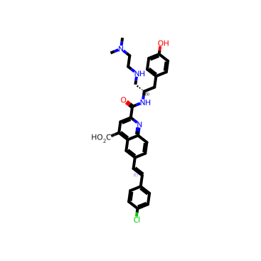 CN(C)CCNC[C@H](Cc1ccc(O)cc1)NC(=O)c1cc(C(=O)O)c2cc(/C=C/c3ccc(Cl)cc3)ccc2n1